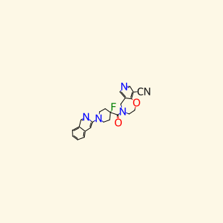 N#Cc1cncc2c1OCCN(C(=O)C1(F)CCN(c3cc4ccccc4cn3)CC1)C2